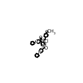 COc1ccc(CN2C(=O)C3(CCN(c4ccccc4)CC3)C23C=CN(C(=O)C2CCN(c4ccccc4)CC2)N=C3Cl)cc1